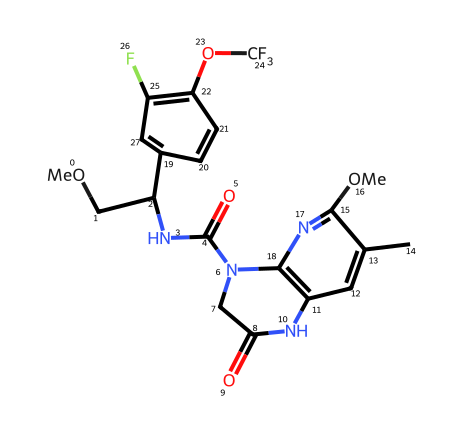 COCC(NC(=O)N1CC(=O)Nc2cc(C)c(OC)nc21)c1ccc(OC(F)(F)F)c(F)c1